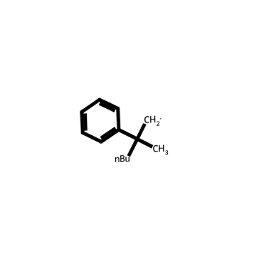 [CH2]C(C)(CCCC)c1ccccc1